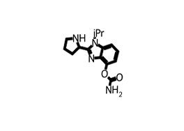 CC(C)n1c(C2CCCN2)nc2c(OC(N)=O)cccc21